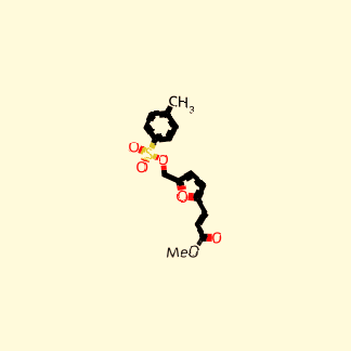 COC(=O)C=Cc1ccc(COS(=O)(=O)c2ccc(C)cc2)o1